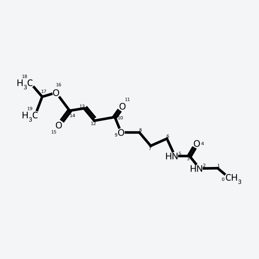 CCNC(=O)NCCCOC(=O)/C=C/C(=O)OC(C)C